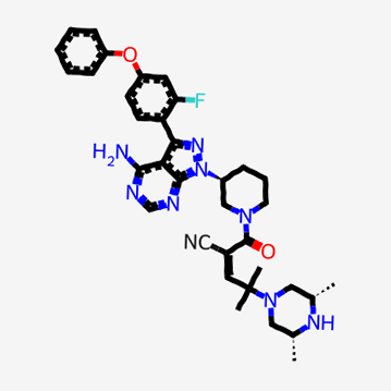 C[C@@H]1CN(C(C)(C)/C=C(/C#N)C(=O)N2CCC[C@H](n3nc(-c4ccc(Oc5ccccc5)cc4F)c4c(N)ncnc43)C2)C[C@H](C)N1